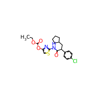 CCOC(=O)Oc1csc(NC(=O)C(CC2CCCC2)c2ccc(Cl)cc2)n1